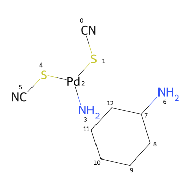 N#C[S][Pd]([NH2])[S]C#N.NC1CCCCC1